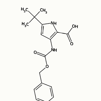 CC(C)(C)c1cc(NC(=O)OCc2ccccc2)c(C(=O)O)[nH]1